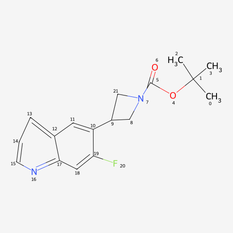 CC(C)(C)OC(=O)N1CC(c2cc3cccnc3cc2F)C1